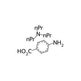 CCCN(CCC)CCC.Nc1ccc(C(=O)O)cc1